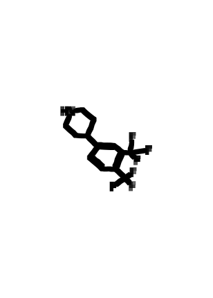 FC(F)(F)c1ccc(C2CCNCC2)cc1C(F)(F)F